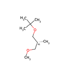 COC[C@@H](C)COC(C)(C)C